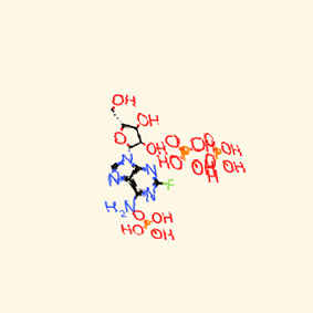 Nc1nc(F)nc2c1ncn2[C@@H]1O[C@H](CO)[C@@H](O)[C@H]1O.O=P(O)(O)O.O=P(O)(O)O.O=P(O)(O)O